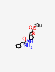 CC(C)(C)OC(=O)c1cc2cc(NC(=O)[C@@H](N)Cc3ccccc3)ccc2o1